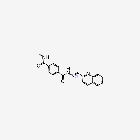 CNC(=O)c1ccc(C(=O)N/N=C/c2ccc3ccccc3n2)cc1